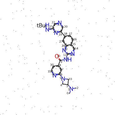 CN(C)C1CN(c2cc(C(=O)Nc3ncc4ccc(-c5cncc(NC(C)(C)C)n5)cc4n3)ccn2)C1